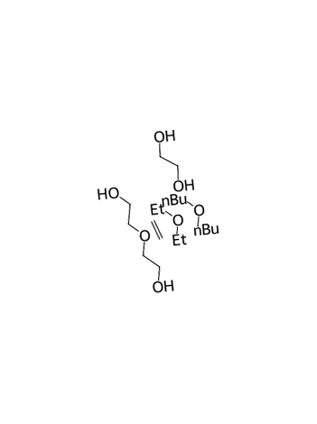 C=C.CCCCOCCCC.CCOCC.OCCO.OCCOCCO